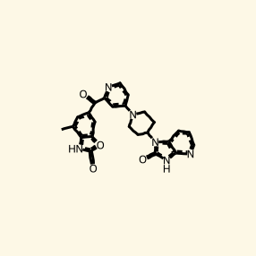 Cc1cc(C(=O)c2cc(N3CCC(n4c(=O)[nH]c5ncccc54)CC3)ccn2)cc2oc(=O)[nH]c12